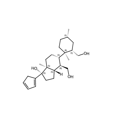 C[C@H]1CC[C@](C)([C@H]2CC[C@@]3(C)[C@@H](CC[C@@]3(O)C3=CC=CC3)[C@@H]2CO)[C@@H](CO)C1